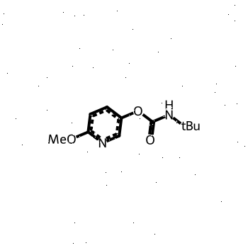 COc1ccc(OC(=O)NC(C)(C)C)cn1